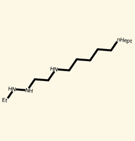 CCCCCCCCCCCCNCCNNCC